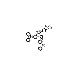 CC1(C)c2ccccc2-c2ccc(-n3ccc4c5cc(-n6c7ccccc7c7ccccc76)ccc5c5c(ccn5-c5ccc6c(c5)C(C)(C)c5ccccc5-6)c43)cc21